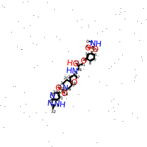 CNS(=O)(=O)c1cccc(OCC(O)CN[C@H]2COC3(CCN(S(=O)(=O)c4cnc5nc(C)[nH]c5c4)CC3)C2)c1